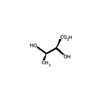 C[C@@H](O)[C@H](O)C(=O)O